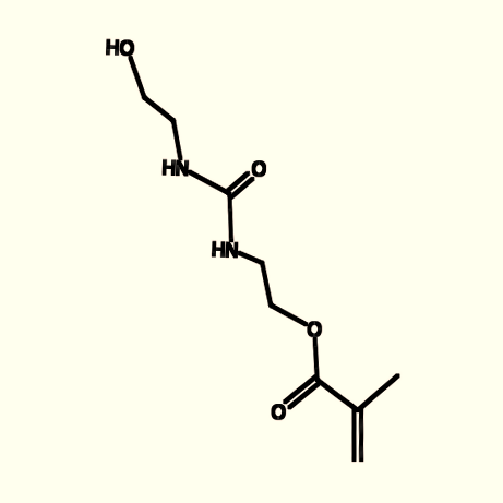 C=C(C)C(=O)OCCNC(=O)NCCO